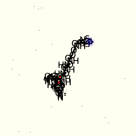 CC[C@H](C)[C@@H]([C@@H](CC(=O)N1CCC[C@H]1[C@H](OC)[C@@H](C)C(=O)N[C@H](CN=[N+]=[N-])Cc1ccc(NC(=O)CNC(=O)CNC(=O)CNC(=O)CNC(=O)CNC(=O)CCOCCOCCNC(=O)c2ccc3nc4c(nc3c2)CSC2=C\C(=C/C=C/C=C\2)SC4)cc1)OC)N(C)C(=O)[C@@H](NC(=O)[C@H](C(C)C)N(C)C)C(C)C